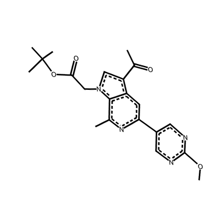 COc1ncc(-c2cc3c(C(C)=O)cn(CC(=O)OC(C)(C)C)c3c(C)n2)cn1